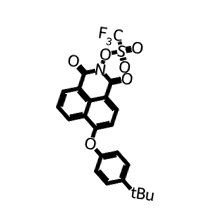 CC(C)(C)c1ccc(Oc2ccc3c4c(cccc24)C(=O)N(OS(=O)(=O)C(F)(F)F)C3=O)cc1